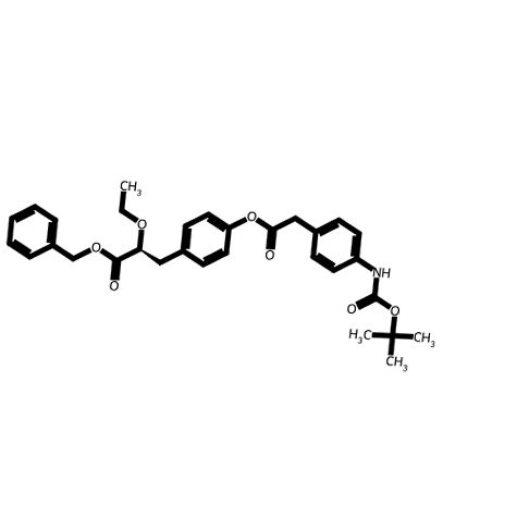 CCO[C@@H](Cc1ccc(OC(=O)Cc2ccc(NC(=O)OC(C)(C)C)cc2)cc1)C(=O)OCc1ccccc1